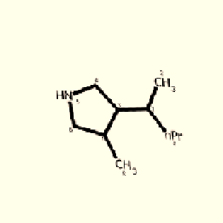 CCCC(C)C1CNCC1C